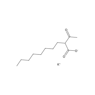 CCCCCCCCC(C(C)=O)C(=O)[O-].[K+]